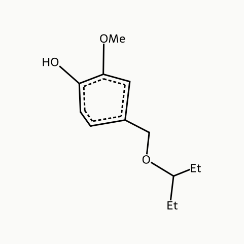 CCC(CC)OCc1ccc(O)c(OC)c1